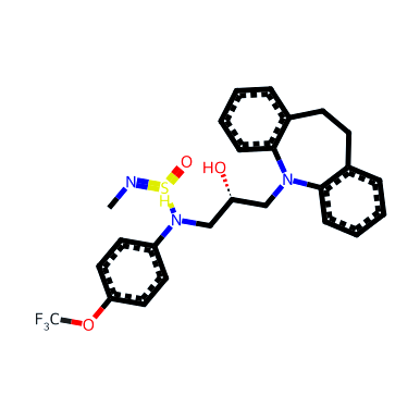 C/N=[SH](=O)\N(C[C@H](O)CN1c2ccccc2CCc2ccccc21)c1ccc(OC(F)(F)F)cc1